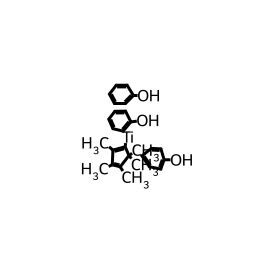 CC1=C(C)C(C)(C)[C]([Ti])=C1C.Oc1ccccc1.Oc1ccccc1.Oc1ccccc1